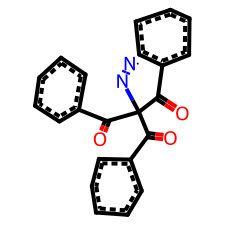 [N]=NC(C(=O)c1ccccc1)(C(=O)c1ccccc1)C(=O)c1ccccc1